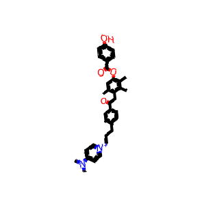 Cc1cc(OC(=O)c2ccc(O)cc2)c(C)c(C)c1CC(=O)c1ccc(CCC[n+]2ccc(N(C)C)cc2)cc1